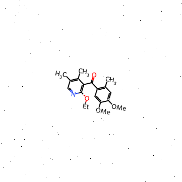 CCOc1ncc(C)c(C)c1C(=O)c1cc(OC)c(OC)cc1C